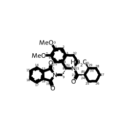 COc1cc2c(cc1OC)[C@@H](CN1C(=O)c3ccccc3C1=O)N(C(=O)[C@@H]1CCCC[C@@H]1C(=O)O)CC2